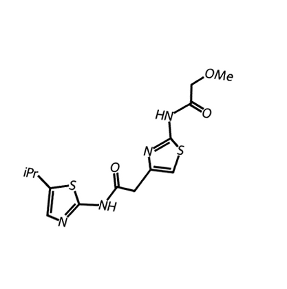 COCC(=O)Nc1nc(CC(=O)Nc2ncc(C(C)C)s2)cs1